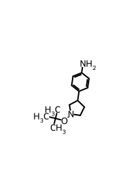 CC(C)(C)ON1CCC(c2ccc(N)cc2)C1